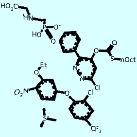 CCCCCCCCSC(=O)Oc1cc(Cl)nnc1-c1ccccc1.CCOc1cc(Oc2ccc(C(F)(F)F)cc2Cl)ccc1[N+](=O)[O-].C[S+](C)C.O=C(O)CNCP(=O)([O-])O